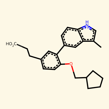 Cc1c[nH]c2ccc(-c3cc(CCC(=O)O)ccc3OCC3CCCC3)cc12